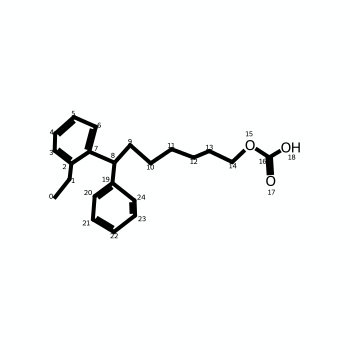 CCc1ccccc1C(CCCCCCOC(=O)O)c1ccccc1